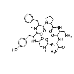 CCC(=O)N(C)CC(=O)N[C@@H](Cc1ccc(O)cc1)C(=O)N(C)[C@@H](Cc1ccccc1)C(=O)N1CCC[C@H]1C(=O)N[C@@H](CN)C(=O)NCC(N)=O